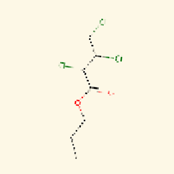 CCCOC(=O)C(Cl)C(Cl)CCl